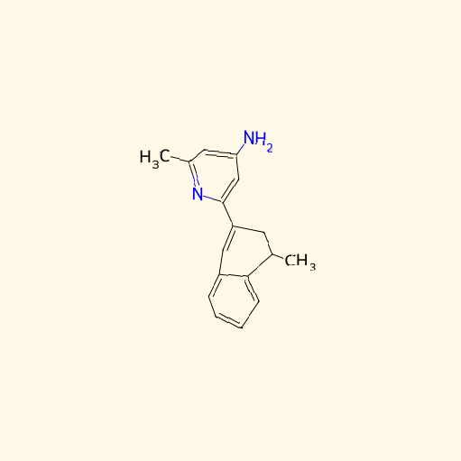 Cc1cc(N)cc(C2=Cc3ccccc3C(C)C2)n1